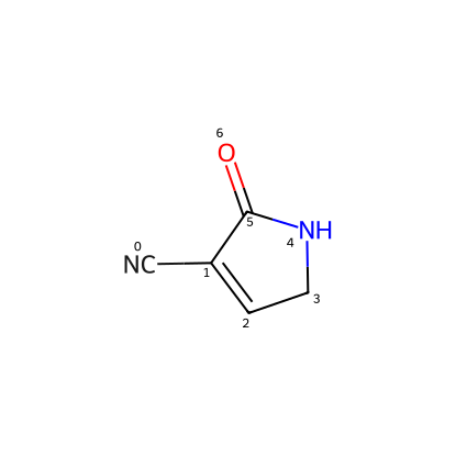 N#CC1=CCNC1=O